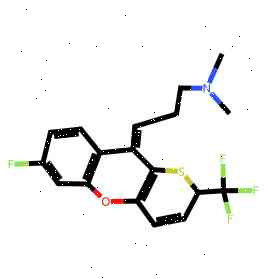 CN(C)CCC=C1C2=C(C=CC(C(F)(F)F)S2)Oc2cc(F)ccc21